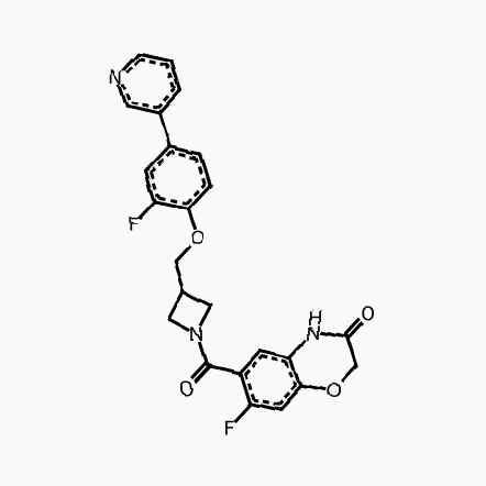 O=C1COc2cc(F)c(C(=O)N3CC(COc4ccc(-c5cccnc5)cc4F)C3)cc2N1